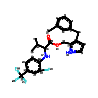 Cc1cccc(Cc2cc[nH]c2COC(=O)C(Nc2ccc(C(F)(F)F)cc2F)C(C)C)c1